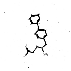 CN(CCC(=O)O)Cc1ccc(-c2c[c]cnc2)cc1